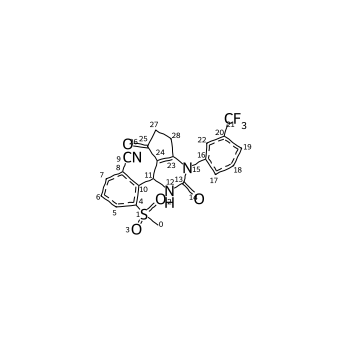 CS(=O)(=O)c1cccc(C#N)c1C1NC(=O)N(c2cccc(C(F)(F)F)c2)C2=C1C(=O)CC2